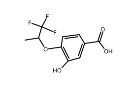 CC(Oc1ccc(C(=O)O)cc1O)C(F)(F)F